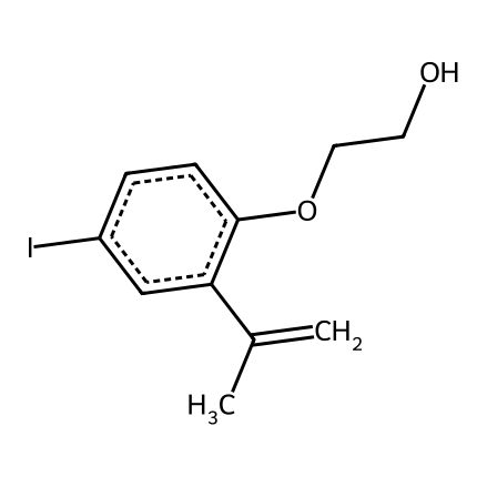 C=C(C)c1cc(I)ccc1OCCO